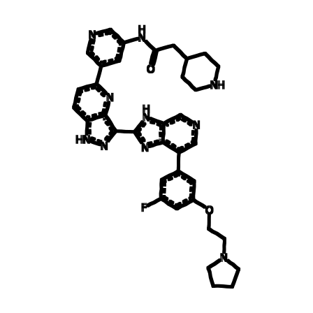 O=C(CC1CCNCC1)Nc1cncc(-c2ccc3[nH]nc(-c4nc5c(-c6cc(F)cc(OCCN7CCCC7)c6)cncc5[nH]4)c3n2)c1